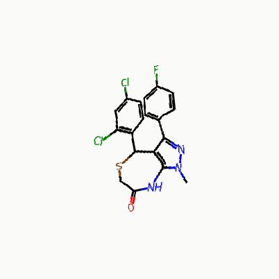 Cn1nc(-c2ccc(F)cc2)c2c1NC(=O)CSC2c1ccc(Cl)cc1Cl